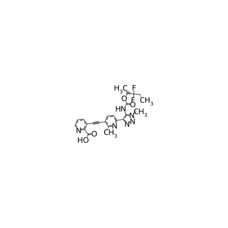 CCC(F)(F)[C@@H](C)OC(=O)Nc1c(-c2ccc(C#Cc3cccnc3C(=O)O)c(C)n2)nnn1C